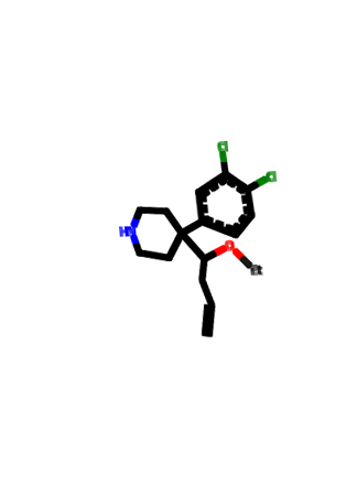 C=CCC(OCC)C1(c2ccc(Cl)c(Cl)c2)CCNCC1